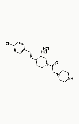 Cl.Cl.O=C(CN1CCNCC1)N1CCC(/C=C/c2ccc(Cl)cc2)CC1